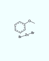 COc1c[c]ccc1.[Br][Zn][Br]